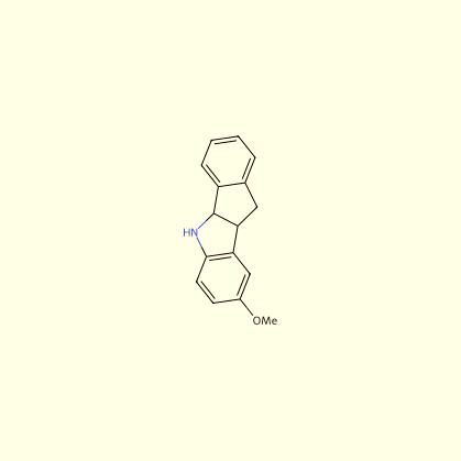 COc1ccc2c(c1)C1Cc3ccccc3C1N2